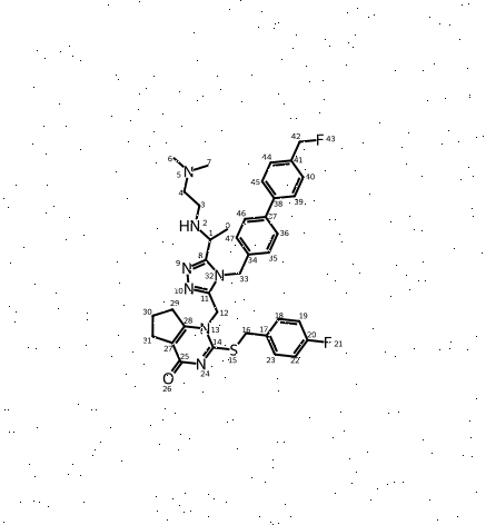 CC(NCCN(C)C)c1nnc(Cn2c(SCc3ccc(F)cc3)nc(=O)c3c2CCC3)n1Cc1ccc(-c2ccc(CF)cc2)cc1